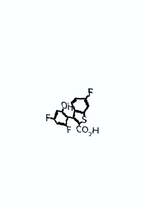 O=C(O)c1sc2cc(F)ccc2c1-c1c(O)cc(F)cc1F